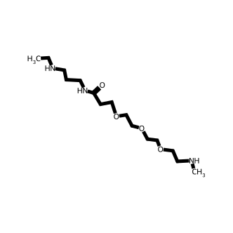 CCNCCCNC(=O)CCOCCOCCOCCNC